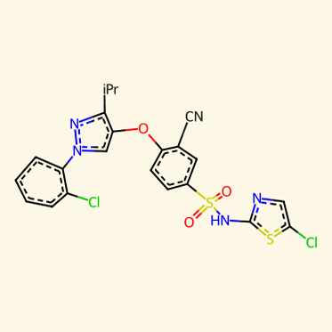 CC(C)c1nn(-c2ccccc2Cl)cc1Oc1ccc(S(=O)(=O)Nc2ncc(Cl)s2)cc1C#N